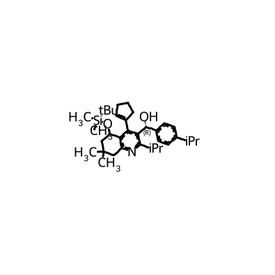 CC(C)c1ccc([C@@H](O)c2c(C(C)C)nc3c(c2C2=CCCC2)C(O[Si](C)(C)C(C)(C)C)CC(C)(C)C3)cc1